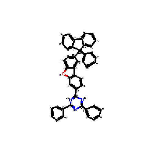 c1ccc(-c2nc(-c3ccccc3)nc(-c3ccc4c(c3)oc3ccc(C5(c6ccccc6)c6ccccc6-c6ccccc65)cc34)n2)cc1